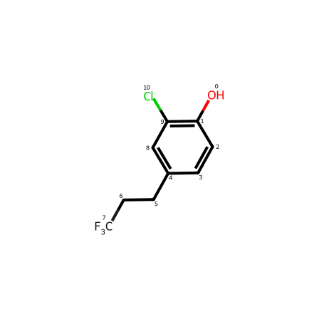 Oc1ccc(CCC(F)(F)F)cc1Cl